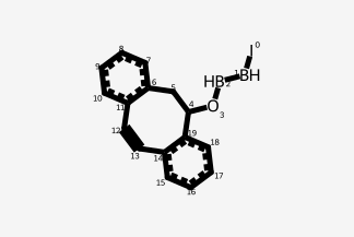 IBBOC1Cc2ccccc2C#Cc2ccccc21